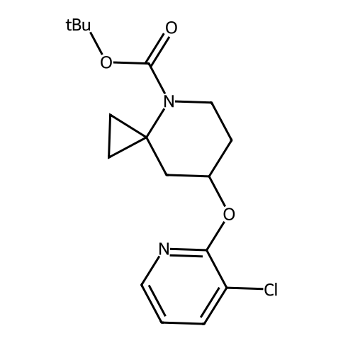 CC(C)(C)OC(=O)N1CCC(Oc2ncccc2Cl)CC12CC2